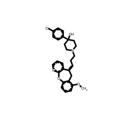 COc1cccc2c1C/C(=C/CCN1CCC(O)(c3ccc(Cl)cc3)CC1)c1cccnc1O2